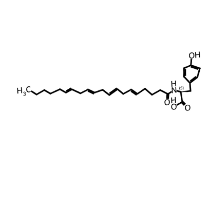 CCCCCC=CCC=CCC=CCC=CCCCC(=O)N[C@@H](Cc1ccc(O)cc1)C(=O)O